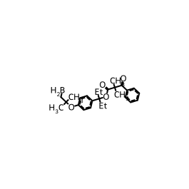 BCC(C)(C)Oc1ccc(C(CC)(CC)OC(=O)C(C)(C)C(=O)c2ccccc2)cc1